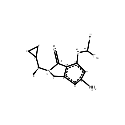 C[C@@H](C1CC1)N1Cc2cc(N)cc(OC(F)F)c2C1=O